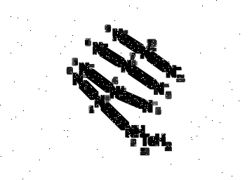 [N-]=[N+]=N.[N-]=[N+]=[N-].[N-]=[N+]=[N-].[N-]=[N+]=[N-].[TeH2]